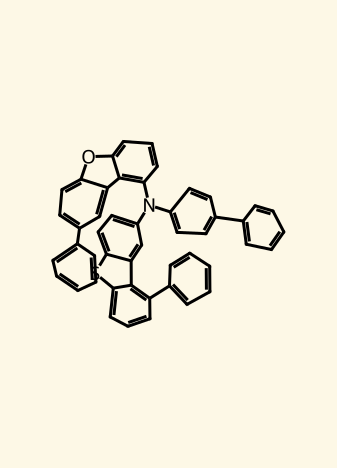 c1ccc(-c2ccc(N(c3ccc4sc5cccc(-c6ccccc6)c5c4c3)c3cccc4oc5ccc(-c6ccccc6)cc5c34)cc2)cc1